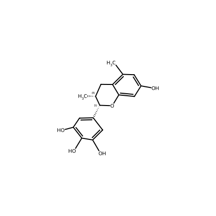 Cc1cc(O)cc2c1C[C@@H](C)[C@@H](c1cc(O)c(O)c(O)c1)O2